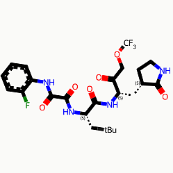 CC(C)(C)C[C@H](NC(=O)C(=O)Nc1ccccc1F)C(=O)N[C@@H](C[C@@H]1CCNC1=O)C(=O)COC(F)(F)F